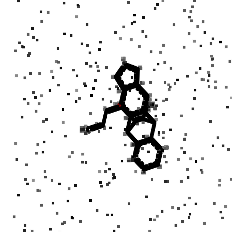 C=C/C=C\C1=C(C)C2c3cc4cscc4cc3C1c1nccnc12